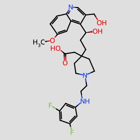 COc1ccc2ncc(CO)c([C@@H](O)CCC3(CC(=O)O)CCN(CCNc4cc(F)cc(F)c4)CC3)c2c1